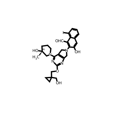 C[C@@]1(O)CCCN(c2nc(OCC3(CO)CC3)nc3c2CN(c2c(O)cc4cccc(I)c4c2C=O)C3)C1